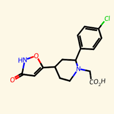 O=C(O)CN1CCC(c2cc(=O)[nH]o2)CC1c1ccc(Cl)cc1